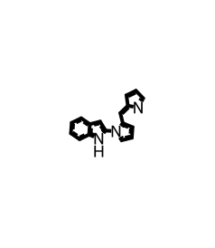 C1=CC(=Cc2cccn2-c2cc3ccccc3[nH]2)N=C1